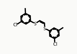 Cc1cc(Cl)cc(S/C=C\Sc2cc(C)cc(Cl)c2)c1